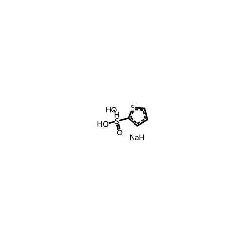 O=[SH](O)(O)c1cccs1.[NaH]